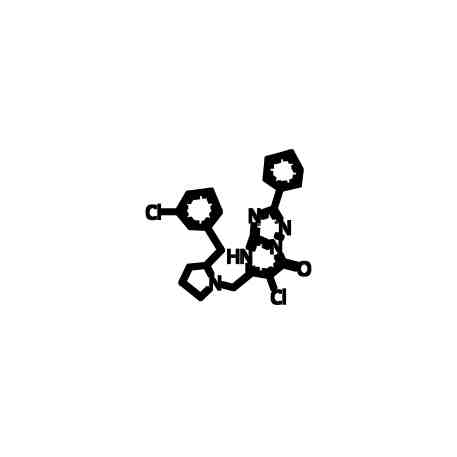 O=c1c(Cl)c(CN2CCCC2Cc2cccc(Cl)c2)[nH]c2nc(-c3ccccc3)nn12